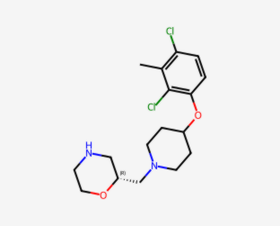 Cc1c(Cl)ccc(OC2CCN(C[C@H]3CNCCO3)CC2)c1Cl